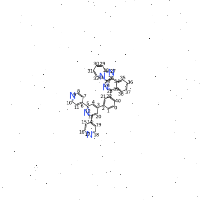 c1cc(-c2cc(-c3ccncc3)nc(-c3ccncc3)c2)cc(-c2nc3c(nc4ccccn43)c3ccccc23)c1